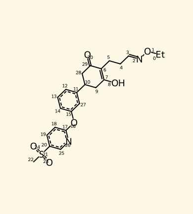 CCON=CCCC1=C(O)CC(c2cccc(Oc3ccc(S(C)(=O)=O)cn3)c2)CC1=O